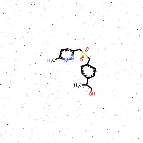 Cc1ccc(CS(=O)(=O)Cc2ccc(C(C)CO)cc2)nn1